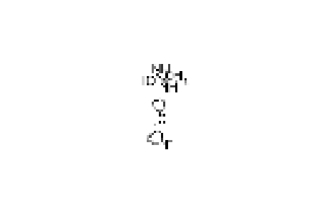 C[C@H](NCc1ccc(OCc2cccc(F)c2)cc1)C(N)O